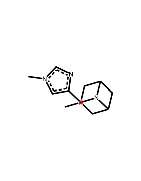 CN1CC2CC(C1)N2Cc1cn(C)cn1